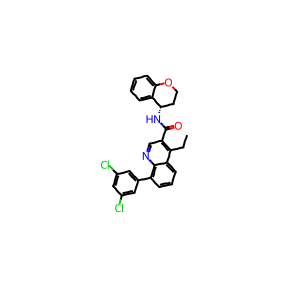 CCc1c(C(=O)N[C@H]2CCOc3ccccc32)cnc2c(-c3cc(Cl)cc(Cl)c3)cccc12